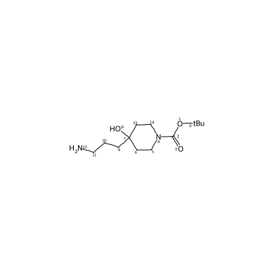 CC(C)(C)OC(=O)N1CCC(O)(CCCN)CC1